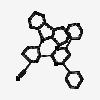 N#Cc1ccc(-n2c3ccccc3c3ccccc32)c(-c2nc(-c3ccccc3)cc(-c3ccccc3)n2)c1